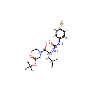 CCN(CC(=O)OC(C)(C)C)C(=O)[C@H](CC(C)C)NC(=O)Nc1ccc(Br)cc1